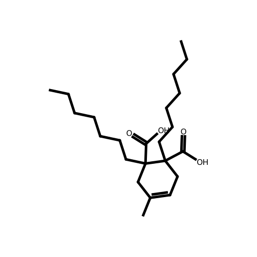 CCCCCCCC1(C(=O)O)CC=C(C)CC1(CCCCCCC)C(=O)O